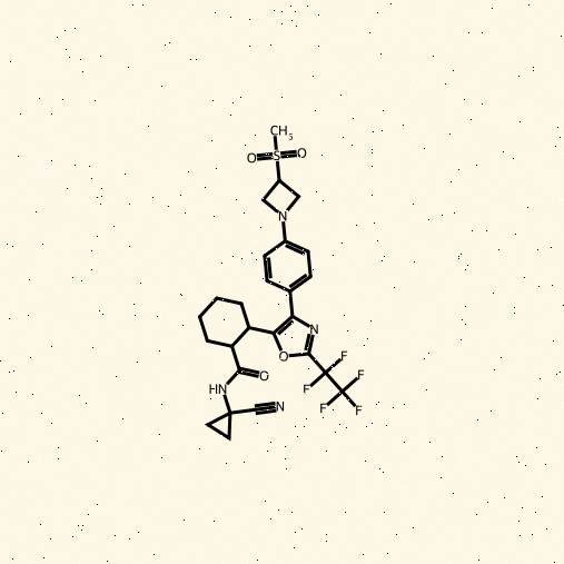 CS(=O)(=O)C1CN(c2ccc(-c3nc(C(F)(F)C(F)(F)F)oc3C3CCCCC3C(=O)NC3(C#N)CC3)cc2)C1